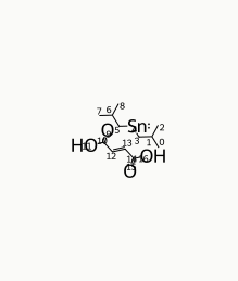 CC(C)[CH2][Sn][CH2]C(C)C.O=C(O)C=CC(=O)O